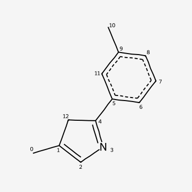 CC1=CN=C(c2cccc(C)c2)C1